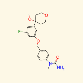 COC1(c2cc(F)cc(OCc3ccc(N(C)C(N)=O)cc3)c2)CCOCC1